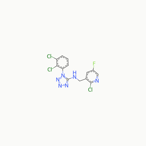 Fc1cnc(Cl)c(CNc2nnnn2-c2cccc(Cl)c2Cl)c1